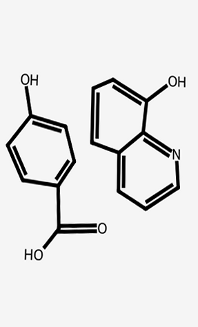 O=C(O)c1ccc(O)cc1.Oc1cccc2cccnc12